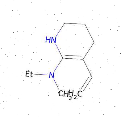 C=CC1=C(N(C)CC)NCCC1